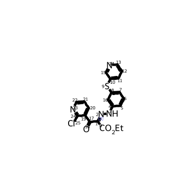 CCOC(=O)/C(=N\Nc1cccc(Sc2cccnc2)c1)C(=O)c1cccnc1Cl